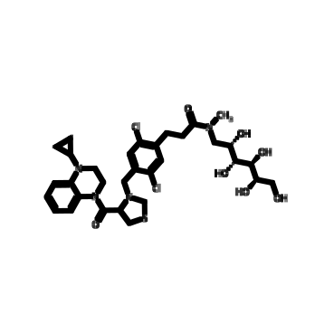 CN(C[C@H](O)[C@@H](O)[C@@H](O)[C@H](O)CO)C(=O)CCc1cc(Cl)c(CN2CSCC2C(=O)N2CCN(C3CC3)c3ccccc32)cc1Cl